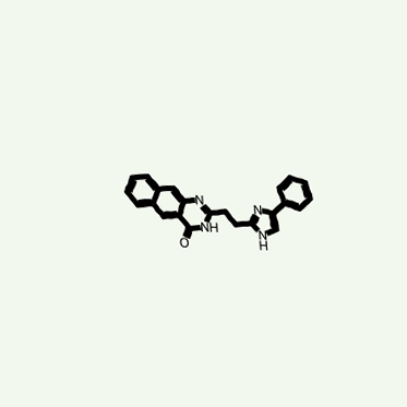 O=c1[nH]c(CCc2nc(-c3ccccc3)c[nH]2)nc2cc3ccccc3cc12